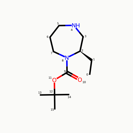 CC[C@@H]1CNCCCN1C(=O)OC(C)(C)C